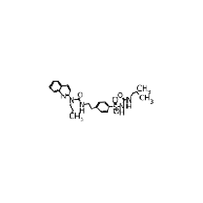 CCCN(C(=O)NCCc1ccc(S(=O)(=O)NC(=O)NCC(C)C)cc1)c1ccc2ccccc2n1